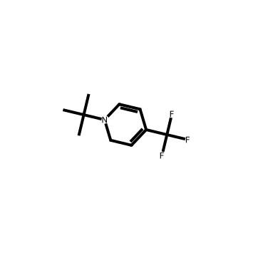 CC(C)(C)N1C=CC(C(F)(F)F)=CC1